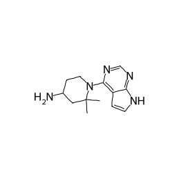 CC1(C)CC(N)CCN1c1ncnc2[nH]ccc12